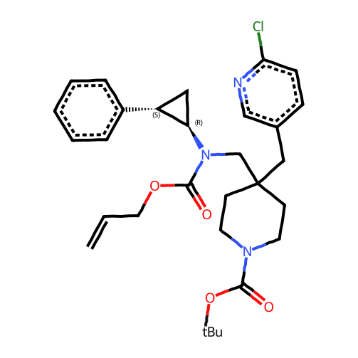 C=CCOC(=O)N(CC1(Cc2ccc(Cl)nc2)CCN(C(=O)OC(C)(C)C)CC1)[C@@H]1C[C@H]1c1ccccc1